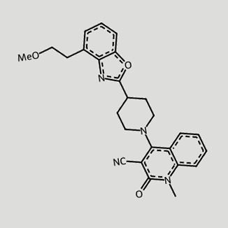 COCCc1cccc2oc(C3CCN(c4c(C#N)c(=O)n(C)c5ccccc45)CC3)nc12